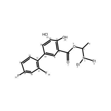 CCN(CC)C(C)OC(=O)c1cc(-c2ccc(F)cc2F)ccc1O.Cl